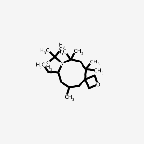 CCC1CC(C)CC2(COC2)C(C)(C)CC(C)(C)N1C(C)(C)C